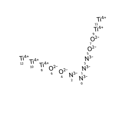 [N-3].[N-3].[N-3].[N-3].[O-2].[O-2].[O-2].[O-2].[Ti+4].[Ti+4].[Ti+4].[Ti+4].[Ti+4]